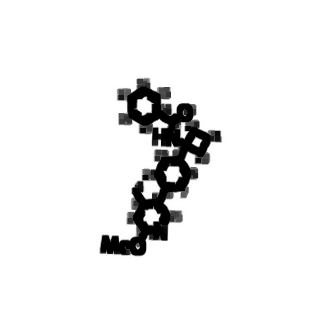 COc1cc(C)c(-c2ccc(C3(NC(=O)c4ccccc4)CCC3)cc2)cn1